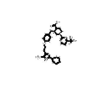 Cc1oc(-c2ccccc2)nc1CCOc1ccc(CC2CN(c3nccc(C(F)(F)F)n3)CCC2C(=O)O)cc1